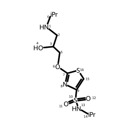 CC(C)NCC(O)COc1nc(S(=O)(=O)NC(C)C)cs1